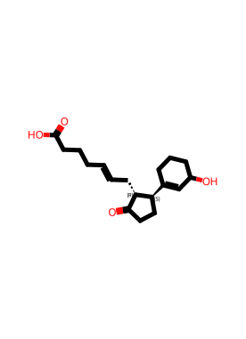 O=C(O)CCCC=CC[C@H]1C(=O)CC[C@@H]1C1=CC(O)CCC1